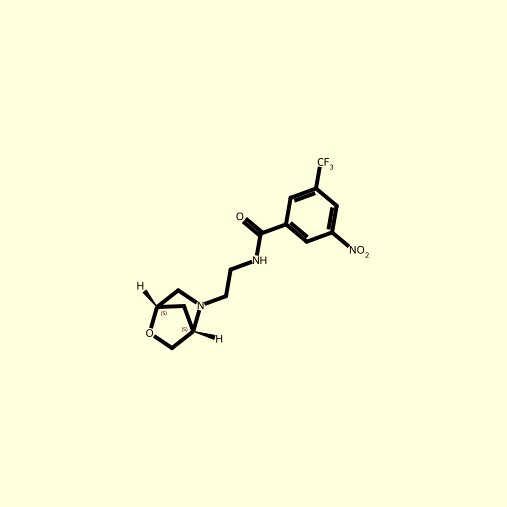 O=C(NCCN1C[C@@H]2C[C@H]1CO2)c1cc([N+](=O)[O-])cc(C(F)(F)F)c1